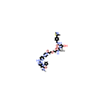 Cc1ncsc1-c1ccc(CNC(=O)[C@@H]2C[C@@H](O)CN2C(=O)C(NC(=O)CCOCCC(=O)N2CCN(c3ccc(Nc4ncc5cc(C(=O)N(C)C)n(C6CCCC6)c5n4)nc3)CC2)C(C)(C)C)cc1